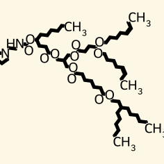 CC/C=C\CCCCOC(CCC(=O)OCC(COC(=O)CCCCCC(=O)OCCC(CCCCCC)CCCCCC)COC(=O)CCC(CCCCCC)OC(=O)NCCN1CCCC1)OCCCC/C=C\CC